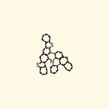 c1ccc(N(c2ccccc2-c2cccc3c2sc2ccccc23)c2cccc3sc4ccccc4c23)c(-c2cccc3ccccc23)c1